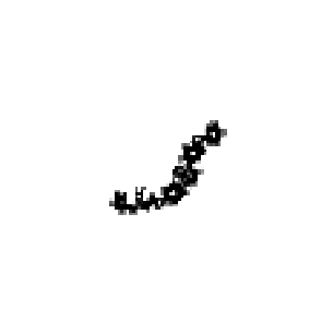 O=c1n(-c2ccc(OCCNCc3cccs3)cc2)ccn1-c1ccc(Oc2ccccc2)cc1